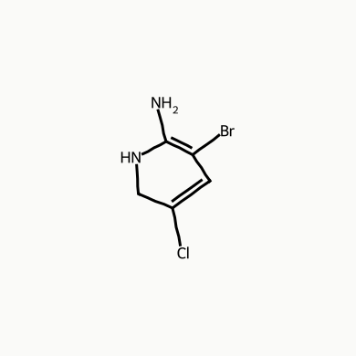 NC1=C(Br)C=C(Cl)CN1